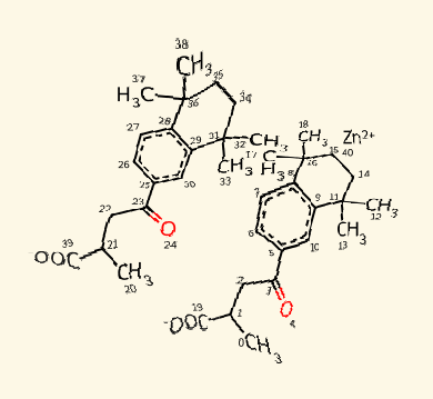 CC(CC(=O)c1ccc2c(c1)C(C)(C)CCC2(C)C)C(=O)[O-].CC(CC(=O)c1ccc2c(c1)C(C)(C)CCC2(C)C)C(=O)[O-].[Zn+2]